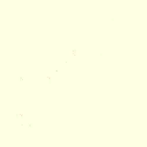 O=C(O)NCc1ccnc(C(=O)NC23CC(NC(=O)COc4ccc(Cl)c(Cl)c4)(C2)C3)c1